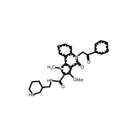 COc1c(C(=O)NCC2CCCNC2)n(C)c2c1c(=O)n(CC(=O)c1ccccc1)c1ccccc21